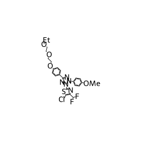 CCOCCOCCOc1ccc(-c2nn(-c3ccc(OC)cc3)[n+](-c3nc(C(F)F)c(Cl)s3)n2)cc1